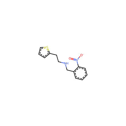 O=[N+]([O-])c1ccccc1CNCCc1cccs1